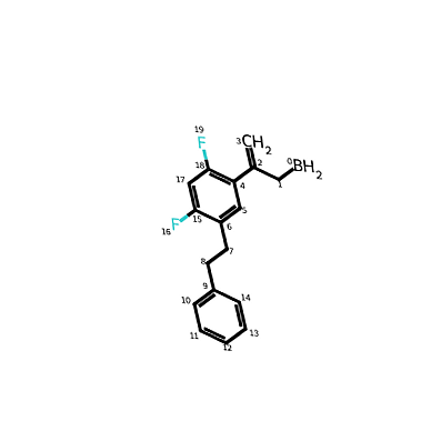 BCC(=C)c1cc(CCc2ccccc2)c(F)cc1F